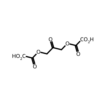 O=C(COC(=O)C(=O)O)COC(=O)C(=O)O